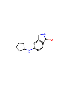 O=C1NCc2cc(NC3CCCC3)ccc21